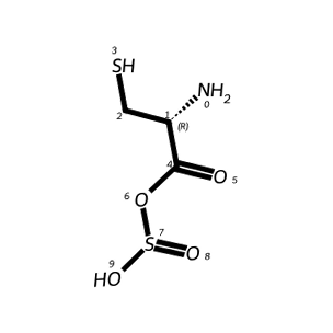 N[C@@H](CS)C(=O)OS(=O)O